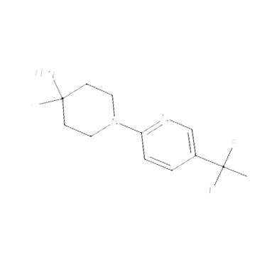 CC1(N)CCN(c2ccc(C(F)(F)F)cn2)CC1